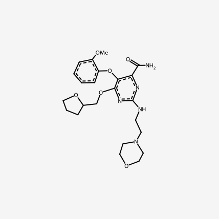 COc1ccccc1Oc1c(OCC2CCCO2)nc(NCCN2CCOCC2)nc1C(N)=O